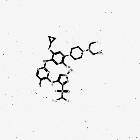 CCN(CC)[C@H]1CC[C@@H](c2cc(OC3CC3)c(Nc3ncc(Cl)c(Nc4cn(C)nc4S(=O)(=O)C(C)C)n3)cc2C)CC1